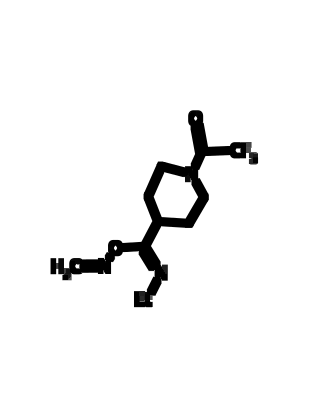 C=NO/C(=N\CC)C1CCN(C(=O)C(F)(F)F)CC1